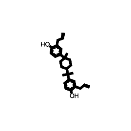 C=CCc1cc(C2(C)CCC(C(C)(C)c3ccc(O)c(CC=C)c3)CC2)ccc1O